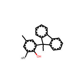 CCCc1cc(C)cc(C2(C)c3ccccc3-c3ccccc32)c1O